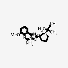 C#CC(C)(C)N1CCC[C@@H](c2nc3c4cccc(OC)c4nc(N)n3n2)C1